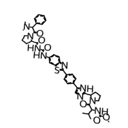 COC(=O)NC(C(=O)N1CCCC1c1ncc(-c2ccc(-c3nc4ccc(NC(=O)NC(=O)C5CCCN5C(=O)C(c5ccccc5)N(C)C)cc4s3)cc2)[nH]1)C(C)C